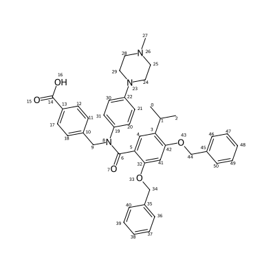 CC(C)c1cc(C(=O)N(Cc2ccc(C(=O)O)cc2)c2ccc(N3CCN(C)CC3)cc2)c(OCc2ccccc2)cc1OCc1ccccc1